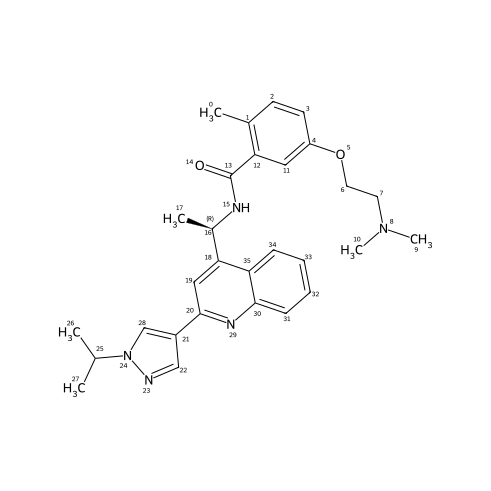 Cc1ccc(OCCN(C)C)cc1C(=O)N[C@H](C)c1cc(-c2cnn(C(C)C)c2)nc2ccccc12